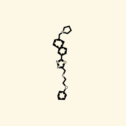 c1ccc(OCCSCc2nnc(-c3ccc4cc(CN5CCCC5)ccc4c3)o2)cc1